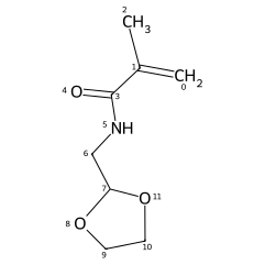 C=C(C)C(=O)NCC1OCCO1